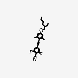 CCCCC(CC)COc1cc(C)c(C#Cc2cc(F)c(C#N)c(F)c2)c(C)c1